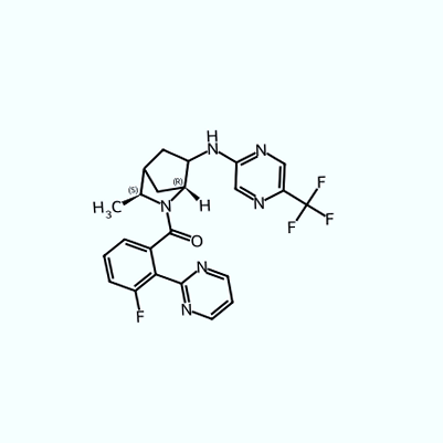 C[C@H]1C2CC(Nc3cnc(C(F)(F)F)cn3)[C@@H](C2)N1C(=O)c1cccc(F)c1-c1ncccn1